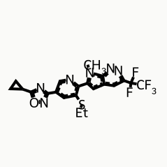 CCSc1cc(-c2noc(C3CC3)n2)cnc1-c1cc2cc(C(F)(F)C(F)(F)F)nnc2n1C